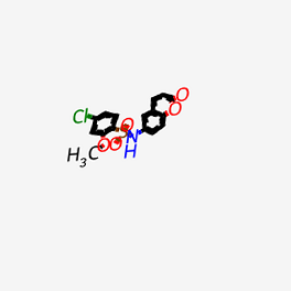 COc1cc(Cl)ccc1S(=O)(=O)Nc1ccc2oc(=O)ccc2c1